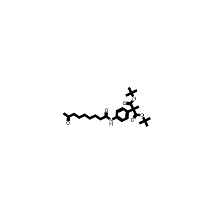 CC(=O)CCCCCCC(=O)Nc1ccc(C(C)(C(=O)OC(C)(C)C)C(=O)OC(C)(C)C)cc1